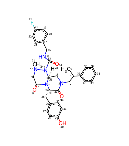 CC(CN1C[C@H]2N(C(=O)CN(C)N2C(=O)NCc2ccc(F)cc2)[C@@H](Cc2ccc(O)cc2)C1=O)c1ccccc1